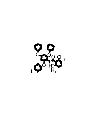 Cc1cccc(C)c1C(=O)Pc1c(Oc2ccccc2)cc(Oc2ccccc2)cc1Oc1ccccc1.[LiH]